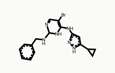 BrC1=C(Nc2cc(C3CC3)[nH]n2)NC(NCc2ccccc2)N=C1